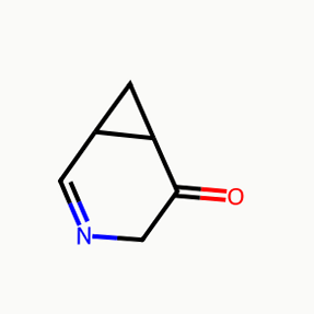 O=C1CN=CC2CC12